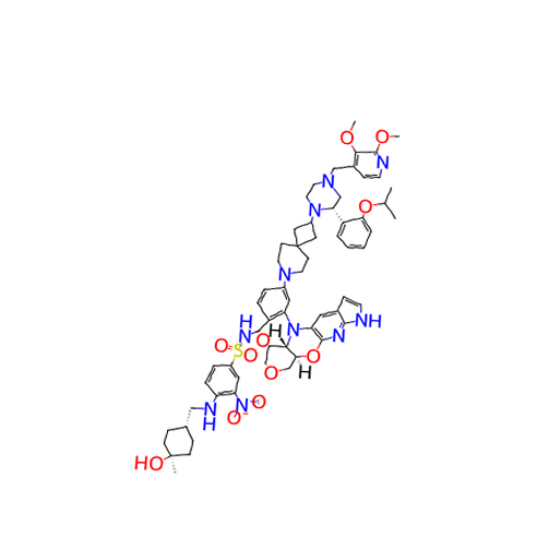 COc1nccc(CN2CCN(C3CC4(CCN(c5ccc(C(=O)NS(=O)(=O)c6ccc(NC[C@H]7CC[C@](C)(O)CC7)c([N+](=O)[O-])c6)c(N6c7cc8cc[nH]c8nc7O[C@H]7COCC[C@@H]76)c5)CC4)C3)[C@@H](c3ccccc3OC(C)C)C2)c1OC